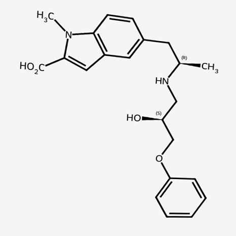 C[C@H](Cc1ccc2c(c1)cc(C(=O)O)n2C)NC[C@H](O)COc1ccccc1